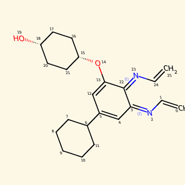 C=C/N=C1/C=C(C2CCCCC2)C=C(O[C@H]2CC[C@@H](O)CC2)/C1=N/C=C